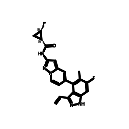 C=Cc1n[nH]c2cc(F)c(C)c(-c3ccn4nc(NC(=O)[C@@H]5C[C@@H]5F)cc4c3)c12